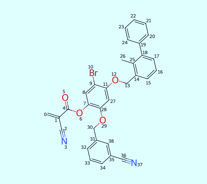 C=C(C#N)C(=O)Oc1cc(Br)c(OCc2cccc(-c3ccccc3)c2C)cc1OCc1cccc(C#N)c1